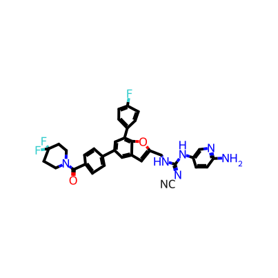 N#C/N=C(\NCc1cc2cc(-c3ccc(C(=O)N4CCC(F)(F)CC4)cc3)cc(-c3ccc(F)cc3)c2o1)Nc1ccc(N)nc1